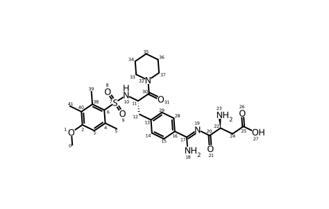 COc1cc(C)c(S(=O)(=O)N[C@@H](Cc2ccc(C(N)=NC(=O)[C@@H](N)CC(=O)O)cc2)C(=O)N2CCCCC2)c(C)c1C